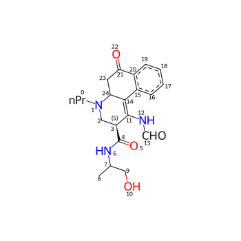 CCCN1C[C@H](C(=O)NC(C)CO)C(NC=O)=C2c3ccccc3C(=O)CC21